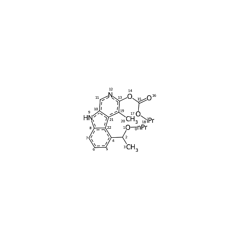 CCCOC(C)c1cccc2[nH]c3cnc(OC(=O)OC(C)C)c(C)c3c12